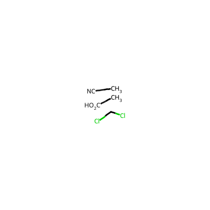 CC#N.CC(=O)O.ClCCl